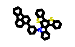 c1cc(-c2ccc3c4c(cccc24)-c2ccccc2-3)cc(-n2c3ccccc3c3c4c5ccccc5sc4c4c5ccccc5sc4c32)c1